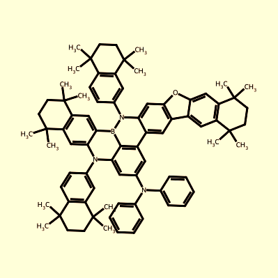 CC1(C)CCC(C)(C)c2cc(N3B4c5cc6c(cc5N(c5ccc7c(c5)C(C)(C)CCC7(C)C)c5cc(N(c7ccccc7)c7ccccc7)cc(c54)-c4cc5c(cc43)oc3cc4c(cc35)C(C)(C)CCC4(C)C)C(C)(C)CCC6(C)C)ccc21